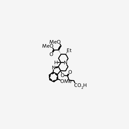 CC[C@@H]1CN2CC[C@@]3(OC(=O)CCC(=O)O)C(=Nc4cccc(OC)c43)[C@@H]2C[C@@H]1/C(=C/OC)C(=O)OC